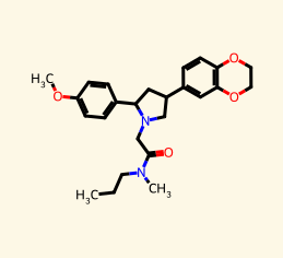 CCCN(C)C(=O)CN1CC(c2ccc3c(c2)OCCO3)CC1c1ccc(OC)cc1